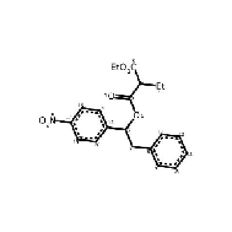 CCOC(=O)C(CC)C(=O)OC(Cc1ccccc1)c1ccc([N+](=O)[O-])cc1